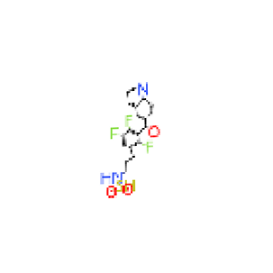 O=C(c1ccc2ncccc2c1)c1c(F)c(F)cc(CCCN[SH](=O)=O)c1F